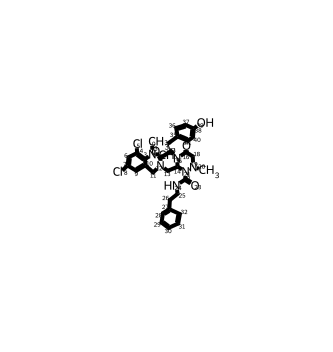 CN(C)c1c(Cl)cc(Cl)cc1CN1CC2N(C(=O)CN(C)N2C(=O)NCCc2ccccc2)[C@@H](Cc2ccc(O)cc2)C1=O